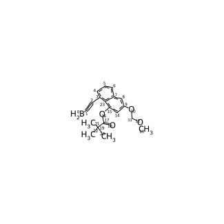 BC#Cc1cccc2cc(OCOC)cc(OC(=O)C(C)(C)C)c12